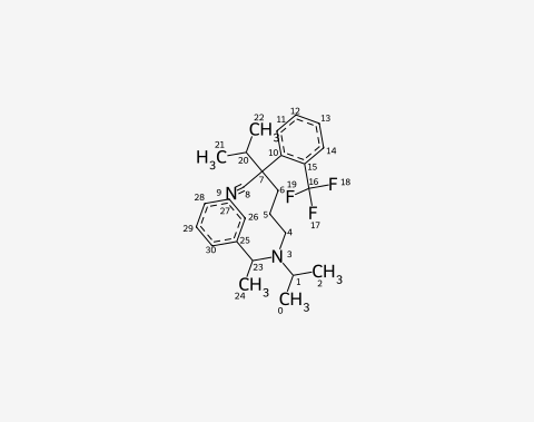 CC(C)N(CCCC(C#N)(c1ccccc1C(F)(F)F)C(C)C)C(C)c1ccccc1